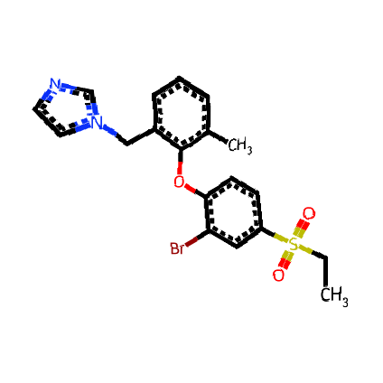 CCS(=O)(=O)c1ccc(Oc2c(C)cccc2Cn2ccnc2)c(Br)c1